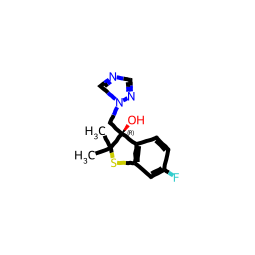 CC1(C)Sc2cc(F)ccc2[C@@]1(O)Cn1cncn1